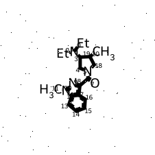 CCN(CC)C1CN(C(=O)c2nn(C)c3ccccc23)CC1C